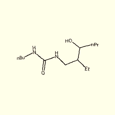 CCCCNC(=O)NCC(CC)C(O)CCC